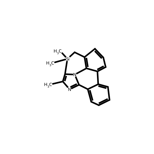 Cc1nc2c3ccccc3c3cccc4c3n2c1[Si](C)(C)C4